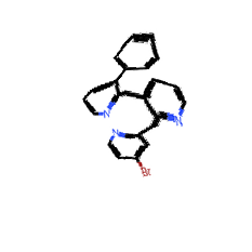 Brc1ccnc(-c2ncccc2-c2ncccc2-c2ccccc2)c1